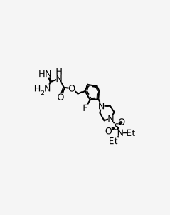 CCN(CC)S(=O)(=O)N1CCN(c2cccc(COC(=O)NC(=N)N)c2F)CC1